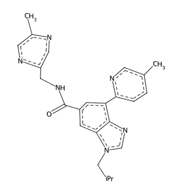 Cc1ccc(-c2cc(C(=O)NCc3cnc(C)cn3)cc3c2ncn3CC(C)C)nc1